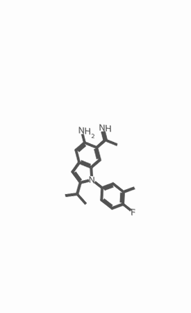 CC(=N)c1cc2c(cc1N)cc(C(C)C)n2-c1ccc(F)c(C)c1